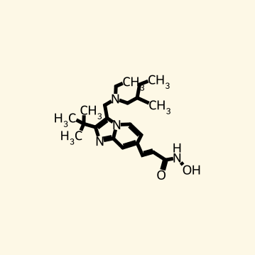 CCC(C)CN(CC)Cc1c(C(C)(C)C)nc2cc(/C=C/C(=O)NO)ccn12